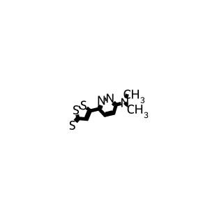 CN(C)c1ccc(-c2cc(=S)ss2)nn1